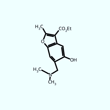 CCOC(=O)c1c(C)oc2cc(CN(C)C)c(O)cc12